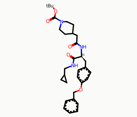 CC(C)(C)OC(=O)N1CCC(CC(=O)N[C@@H](Cc2ccc(OCc3ccccc3)cc2)C(=O)NCC2CC2)CC1